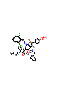 CC(C)C(=O)c1cn(Cc2c(F)cccc2F)c2sc(-c3ccc(O)cc3)c(CN(C)Cc3ccccc3)c2c1=O